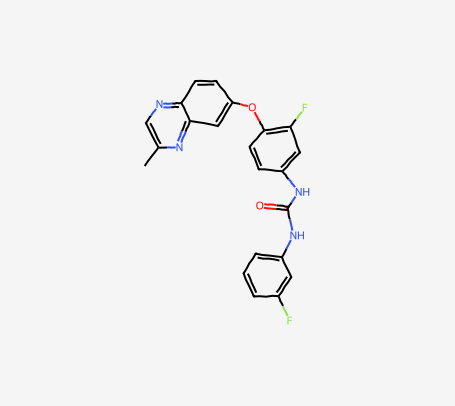 Cc1cnc2ccc(Oc3ccc(NC(=O)Nc4cccc(F)c4)cc3F)cc2n1